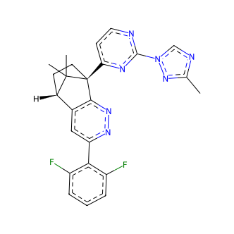 Cc1ncn(-c2nccc([C@@]34CC[C@@H](c5cc(-c6c(F)cccc6F)nnc53)C4(C)C)n2)n1